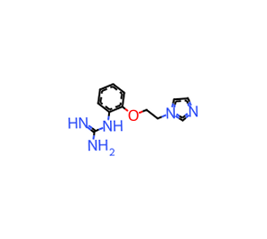 N=C(N)Nc1ccccc1OCCn1ccnc1